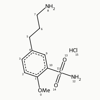 COc1ccc(CCCN)cc1S(N)(=O)=O.Cl